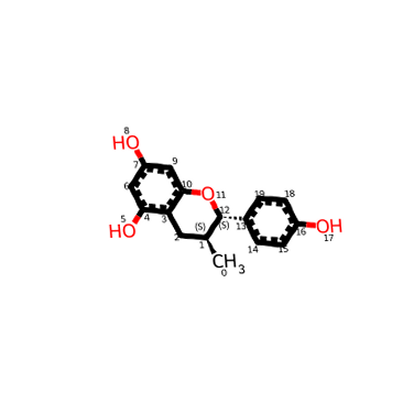 C[C@H]1Cc2c(O)cc(O)cc2O[C@@H]1c1ccc(O)cc1